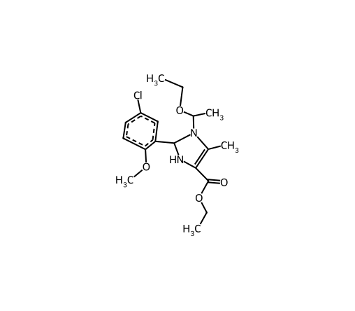 CCOC(=O)C1=C(C)N(C(C)OCC)C(c2cc(Cl)ccc2OC)N1